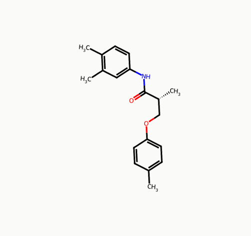 Cc1ccc(OC[C@@H](C)C(=O)Nc2ccc(C)c(C)c2)cc1